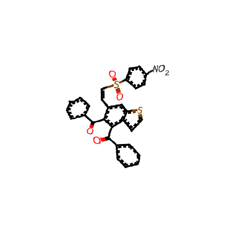 O=C(c1ccccc1)c1c(/C=C\S(=O)(=O)c2ccc([N+](=O)[O-])cc2)cc2sccc2c1C(=O)c1ccccc1